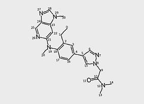 CCc1cc(-c2cnn(CC(=O)N(C)C)c2)ccc1N(C)c1cc2c(cn1)ncn2C